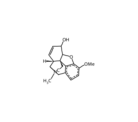 COc1ccc2c3c1OC1C(O)C=C[C@H]4C(C2)N(C)CC[C@]314